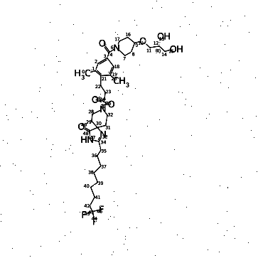 Cc1cc(C(=O)N2CCC(OC[C@H](O)CO)CC2)cc(C)c1CCS(=O)(=O)N1CCC2(CC1)N=C(CCCCCCCCC(F)(F)F)NC2=O